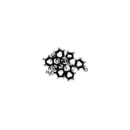 CC1=CC=CC2[CH]([Zr]([C]3=CC=CC3)=[C](c3ccccc3)c3cccc(Cl)c3)C3(C)C4(C)C=CC=CC4(C)C4(C)C=CC=CC4(C)C3(C)C12C